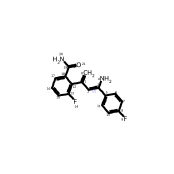 C=C(/C=C(\N)c1ccc(F)cc1)c1c(F)cccc1C(N)=O